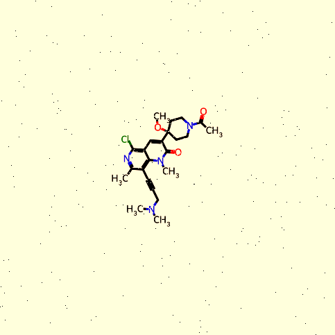 COC1(c2cc3c(Cl)nc(C)c(C#CCN(C)C)c3n(C)c2=O)CCN(C(C)=O)CC1